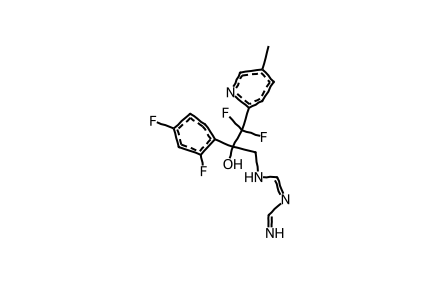 Cc1ccc(C(F)(F)C(O)(CN/C=N\C=N)c2ccc(F)cc2F)nc1